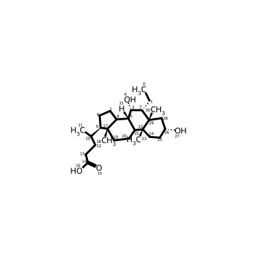 CC[C@H]1[C@@H](O)[C@H]2C3CC[C@H](C(C)CCC(=O)O)[C@@]3(C)CCC2[C@@]2(C)CC[C@@H](O)C[C@@]12C